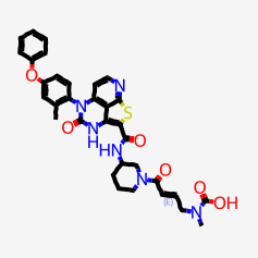 Cc1cc(Oc2ccccc2)ccc1N1C(=O)Nc2c(C(=O)NC3CCCN(C(=O)/C=C/CN(C)C(=O)O)C3)sc3nccc1c23